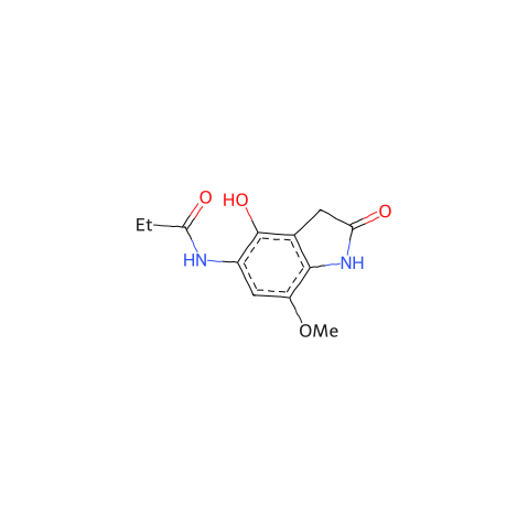 CCC(=O)Nc1cc(OC)c2c(c1O)CC(=O)N2